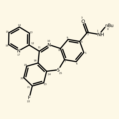 CCCCNC(=O)c1ccc2c(c1)N=C(c1ccccn1)c1ccc(F)cc1S2